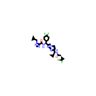 O=C(C[C@@H]1CC1(F)F)N[C@@H](c1ccn2cc([C@@H](NC(=O)c3ncnn3CC3CC3)C3CCC(F)(F)CC3)nc2n1)C1CC1